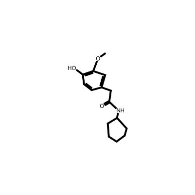 COc1cc(CC(=O)NC2CCCCC2)ccc1O